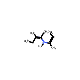 C/C=C(/C)N(C)/C(C)=C(/C)CC